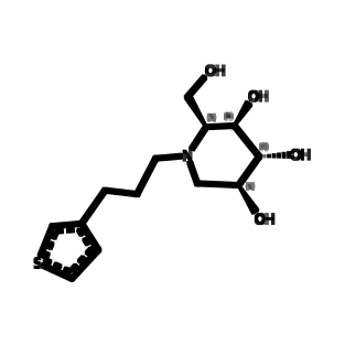 OC[C@H]1[C@@H](O)[C@H](O)[C@@H](O)CN1CCCc1ccsc1